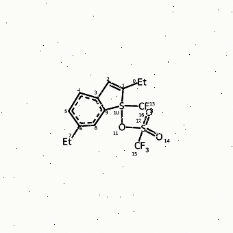 CCC1=Cc2ccc(CC)cc2S1(OS(=O)(=O)C(F)(F)F)C(F)(F)F